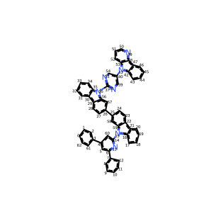 c1ccc(-c2cc(-c3ccccc3)nc(-n3c4ccccc4c4ccc(-c5ccc6c7ccccc7n(-c7ncc(-n8c9ccccc9c9ncccc98)cn7)c6c5)cc43)c2)cc1